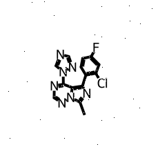 Cc1nc(-c2ccc(F)cc2Cl)c2c(-n3cncn3)ncnn12